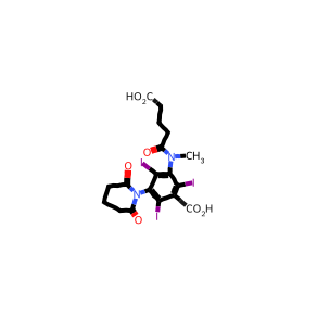 CN(C(=O)CCCC(=O)O)c1c(I)c(C(=O)O)c(I)c(N2C(=O)CCCC2=O)c1I